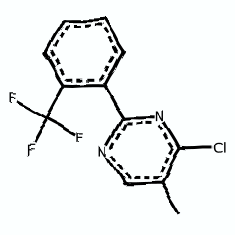 Cc1cnc(-c2ccccc2C(F)(F)F)nc1Cl